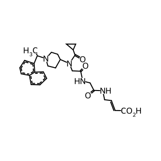 C[C@H](c1cccc2ccccc12)N1CCC(N(CC(=O)NCC(=O)NC/C=C/C(=O)O)C(=O)C2CC2)CC1